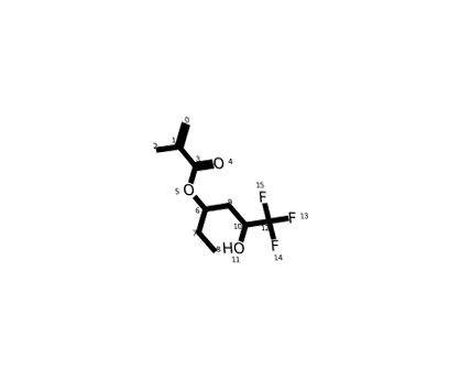 C=C(C)C(=O)OC(CC)CC(O)C(F)(F)F